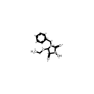 CCOC1C(=O)N(O)C(=O)N1Cc1ccccc1